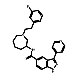 O=C(NC1CCCCN(CCc2cccc(F)c2)C1)c1ccc2[nH]nc(-c3ccncc3)c2c1